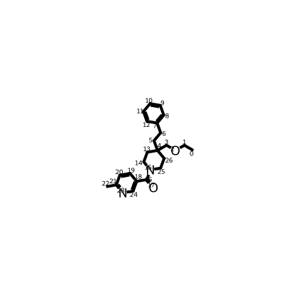 CCOCC1(CCc2ccccc2)CCN(C(=O)c2ccc(C)nc2)CC1